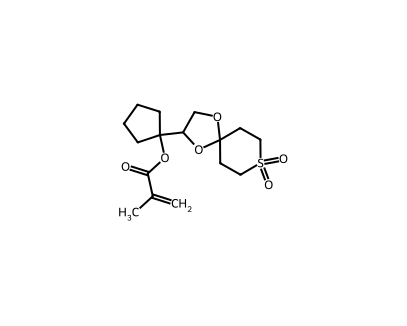 C=C(C)C(=O)OC1(C2COC3(CCS(=O)(=O)CC3)O2)CCCC1